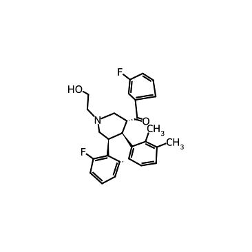 Cc1cccc([C@@H]2[C@@H](C(=O)c3cccc(F)c3)CN(CCO)C[C@@H]2c2[c]cccc2F)c1C